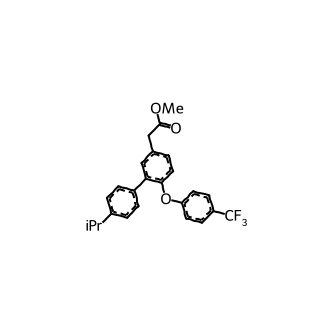 COC(=O)Cc1ccc(Oc2ccc(C(F)(F)F)cc2)c(-c2ccc(C(C)C)cc2)c1